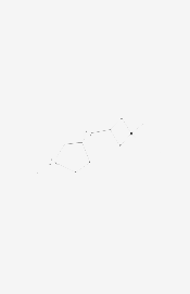 CN1CCC(NC2CC(C)(C)C2)C1